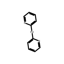 c1cc[c]([Pd][c]2ccccn2)nc1